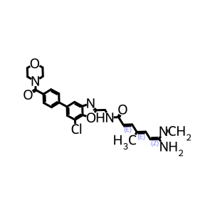 C=N\C(N)=C/C=C(C)/C=C/C(=O)NCc1nc2cc(-c3ccc(C(=O)N4CCOCC4)cc3)cc(Cl)c2o1